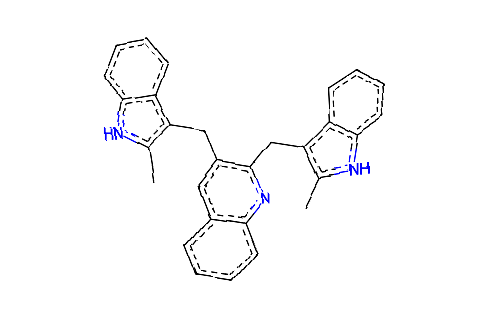 Cc1[nH]c2ccccc2c1Cc1cc2ccccc2nc1Cc1c(C)[nH]c2ccccc12